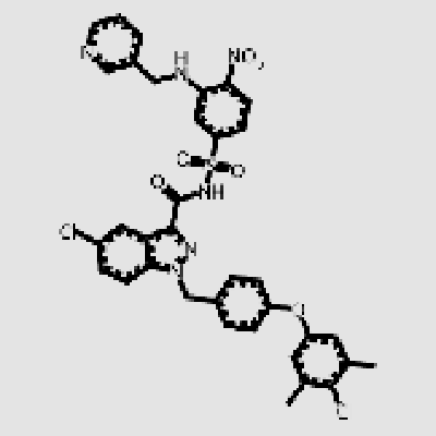 Cc1cc(Oc2ccc(Cn3nc(C(=O)NS(=O)(=O)c4ccc([N+](=O)[O-])c(NCc5cccnc5)c4)c4cc(Cl)ccc43)cc2)cc(C)c1Cl